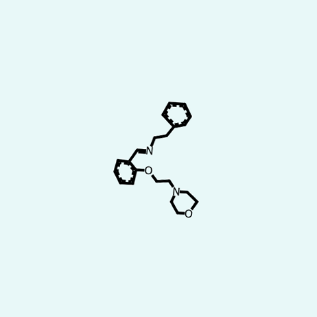 C(=NCCc1ccccc1)c1ccccc1OCCN1CCOCC1